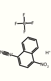 F[B-](F)(F)F.N#[N+]c1ccc([N+](=O)[O-])c2ccccc12.[H+]